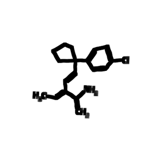 C=C(N)C(/C=C/C1(c2ccc(Cl)cc2)CCCC1)=C/C